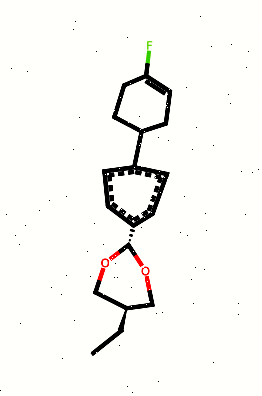 CC[C@H]1CO[C@H](c2ccc(C3CC=C(F)CC3)cc2)OC1